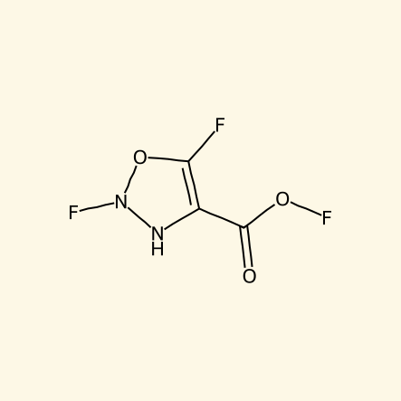 O=C(OF)C1=C(F)ON(F)N1